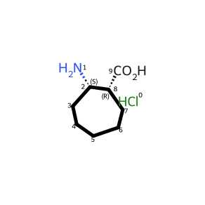 Cl.N[C@H]1CCCCC[C@H]1C(=O)O